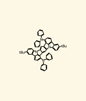 CC(C)(C)c1ccc2c(c1)c1ccc(N(c3ccccc3)c3ccccc3)c3c4cc5c(cc4n2c13)c1c(N(c2ccccc2)c2ccccc2)ccc2c3cc(C(C)(C)C)ccc3n5c21